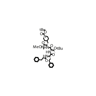 CON(C)C(=O)[C@H](CC1CCN(C(=O)OC(C)(C)C)CC1)NC(=O)[C@@H](NC(=O)[C@H](CCc1ccccc1)NC(=O)CCc1ccccc1)[C@@H](C)OC(C)(C)C